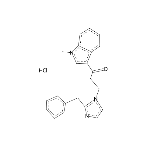 Cl.Cn1cc(C(=O)CCn2ccnc2Cc2ccccc2)c2ccccc21